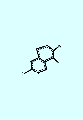 Clc1cc2ccc(Br)c(I)c2cn1